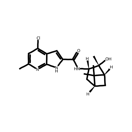 Cc1cc(Cl)c2cc(C(=O)N[C@H]3C[C@H]4C[C@H](C4(C)C)[C@@]3(C)O)[nH]c2n1